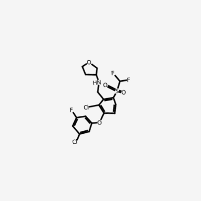 O=S(=O)(c1ccc(Oc2cc(F)cc(Cl)c2)c(Cl)c1CNC1CCOC1)C(F)F